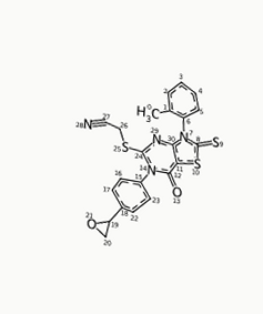 Cc1ccccc1-n1c(=S)sc2c(=O)n(-c3ccc(C4CO4)cc3)c(SCC#N)nc21